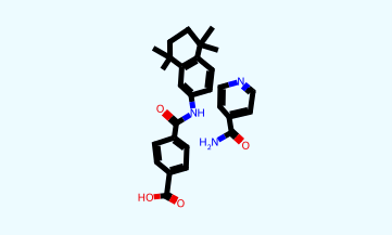 CC1(C)CCC(C)(C)c2cc(NC(=O)c3ccc(C(=O)O)cc3)ccc21.NC(=O)c1ccncc1